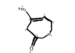 O=C1CC(O)=CC[N]1